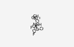 CS(=O)(=O)Cc1cccc(Nc2ncc(F)c(-c3ccc(F)cc3OCc3ccccc3)n2)c1